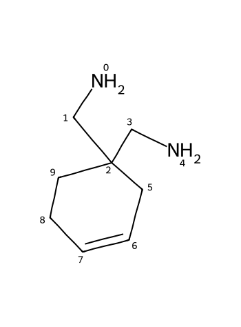 NCC1(CN)CC=CCC1